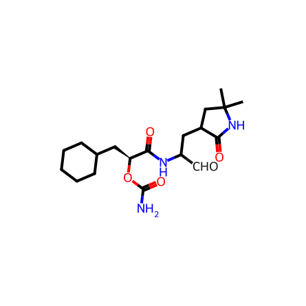 CC1(C)CC(CC(C=O)NC(=O)[C@H](CC2CCCCC2)OC(N)=O)C(=O)N1